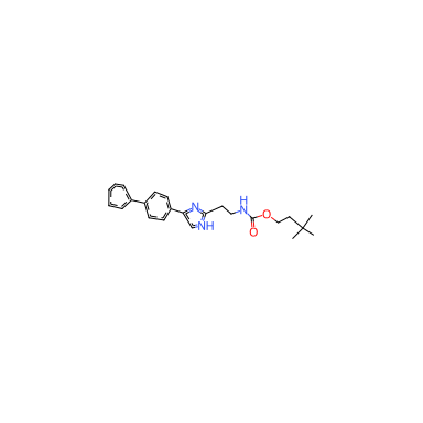 CC(C)(C)CCOC(=O)NCCc1nc(-c2ccc(-c3ccccc3)cc2)c[nH]1